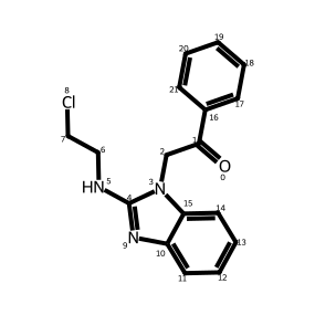 O=C(Cn1c(NCCCl)nc2ccccc21)c1ccccc1